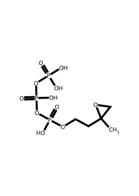 CC1(CCOP(=O)(O)OP(=O)(O)OP(=O)(O)O)CO1